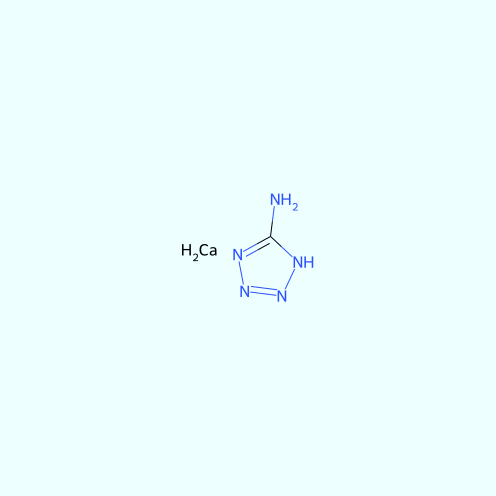 Nc1nnn[nH]1.[CaH2]